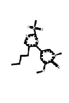 CCCCc1cnc(S(C)(=O)=O)nc1-c1cc(OC)c(=O)n(C)c1